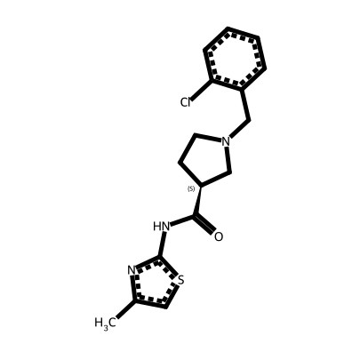 Cc1csc(NC(=O)[C@H]2CCN(Cc3ccccc3Cl)C2)n1